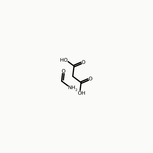 NC=O.O=C(O)CC(=O)O